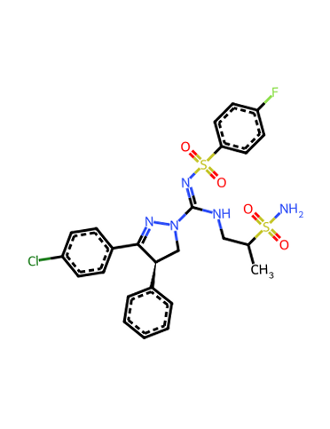 CC(CN/C(=N\S(=O)(=O)c1ccc(F)cc1)N1C[C@@H](c2ccccc2)C(c2ccc(Cl)cc2)=N1)S(N)(=O)=O